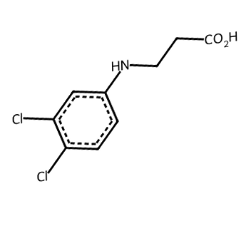 O=C(O)CCNc1ccc(Cl)c(Cl)c1